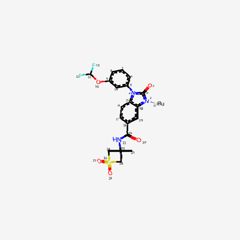 CC[C@@H](C)n1c(=O)n(-c2cccc(OC(F)F)c2)c2ccc(C(=O)NC3(C)CS(=O)(=O)C3)cc21